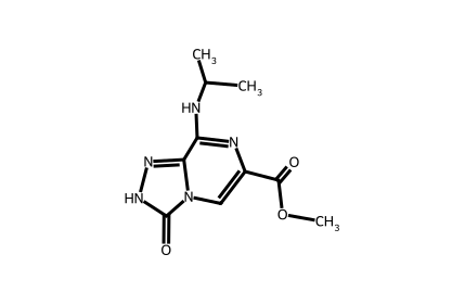 COC(=O)c1cn2c(=O)[nH]nc2c(NC(C)C)n1